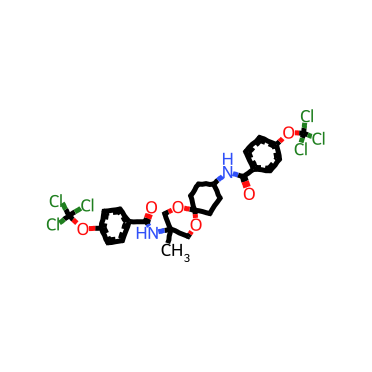 CC1(NC(=O)c2ccc(OC(Cl)(Cl)Cl)cc2)COC2(CCC(NC(=O)c3ccc(OC(Cl)(Cl)Cl)cc3)CC2)OC1